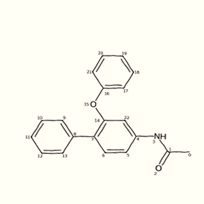 CC(=O)Nc1ccc(-c2ccccc2)c(Oc2ccccc2)c1